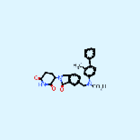 Cc1cc(N(Cc2ccc3c(c2)C(=O)N(C2CCC(=O)NC2=O)C3)C(=O)O)ccc1-c1ccccc1